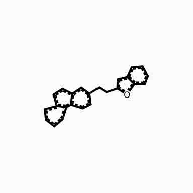 c1ccc2oc(CCc3ccc4c(ccc5ccccc54)c3)cc2c1